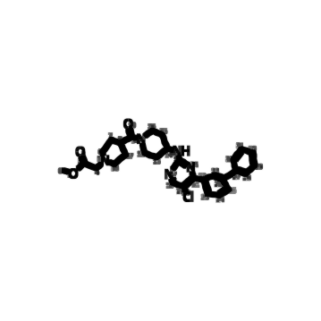 COC(=O)CN1CCC(C(=O)N2CCC(Nc3ncc(Cl)c(-c4cccc(-c5ccccc5)c4)n3)CC2)CC1